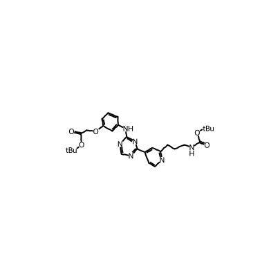 CC(C)(C)OC(=O)COc1cccc(Nc2ncnc(-c3ccnc(CCCNC(=O)OC(C)(C)C)c3)n2)c1